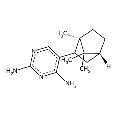 CC1(C)[C@@H]2CC[C@]1(C)C(c1cnc(N)nc1N)C2